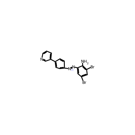 Nc1c(Br)cc(Br)cc1/N=N/c1ccc(-c2cccnc2)cc1